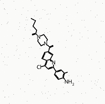 C=C(CCCC)N1CCN(C(=C)c2ccc3c(Cl)cc(-c4ccc(N)c(C)c4)nc3c2)CC1